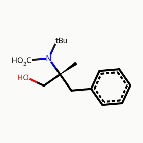 CC(C)(C)N(C(=O)O)[C@@](C)(CO)Cc1ccccc1